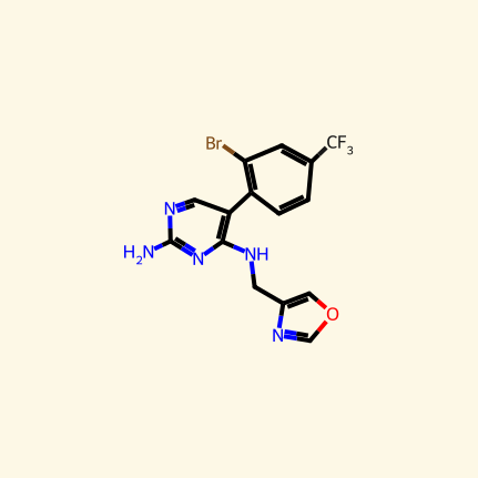 Nc1ncc(-c2ccc(C(F)(F)F)cc2Br)c(NCc2cocn2)n1